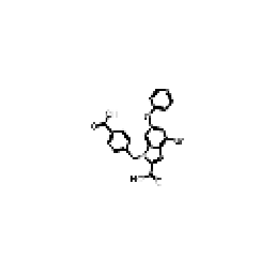 O=C(O)c1ccc(Cn2c(C(=O)O)cc3c(Br)cc(Oc4ccccc4)cc32)cc1